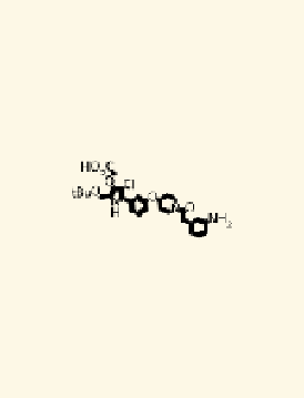 CC(C)(C)OCc1[nH]c(-c2cccc(OC3CCN(C(=O)Cc4cccc(N)c4)CC3)c2)c(Cl)c1OCC(=O)O